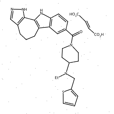 CCN(Cc1cccs1)C1CCN(C(=O)c2ccc3[nH]c4c(c3c2)CCCc2cn[nH]c2-4)CC1.O=C(O)C=CC(=O)O